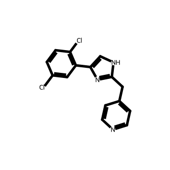 Clc1ccc(Cl)c(-c2c[nH]c(Cc3ccncc3)n2)c1